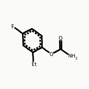 CCc1cc(F)ccc1OC(N)=O